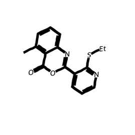 CCSc1ncccc1-c1nc2cccc(C)c2c(=O)o1